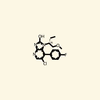 CC[C@H](COC)n1c(O)nc2ncc(Cl)c(-c3ccc(F)cc3)c21